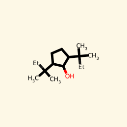 CCC(C)(C)C1CCC(C(C)(C)CC)C1O